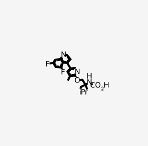 Cc1cc(-c2ccnc3cc(F)cc(F)c23)cnc1OCC(C)(CC(C)C)NC(=O)O